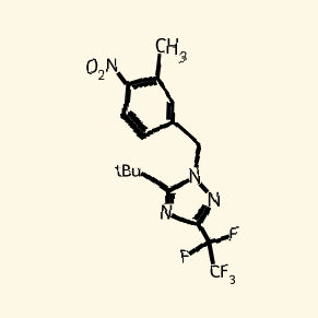 Cc1cc(Cn2nc(C(F)(F)C(F)(F)F)nc2C(C)(C)C)ccc1[N+](=O)[O-]